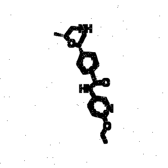 CCOc1ccc(NC(=O)c2ccc([C@H]3CNC[C@@H](C)O3)cc2)cn1